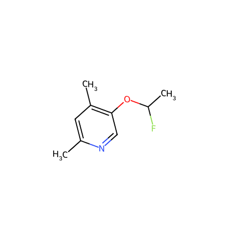 Cc1cc(C)c(OC(C)F)cn1